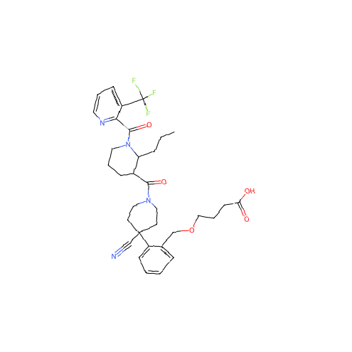 CCCC1C(C(=O)N2CCC(C#N)(c3ccccc3COCCCC(=O)O)CC2)CCCN1C(=O)c1ncccc1C(F)(F)F